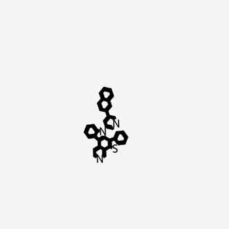 c1ccc2cc(-c3cncc(-n4c5ccccc5c5c6ccncc6c6sc7ccccc7c6c54)c3)ccc2c1